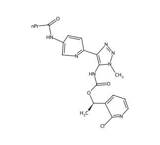 CCCC(=O)Nc1ccc(-c2nnn(C)c2NC(=O)O[C@H](C)c2cccnc2Cl)nc1